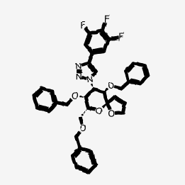 Fc1cc(-c2cn([C@H]3[C@@H](OCc4ccccc4)[C@@H](COCc4ccccc4)O[C@]4(C=CCO4)[C@@H]3OCc3ccccc3)nn2)cc(F)c1F